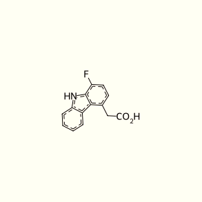 O=C(O)Cc1ccc(F)c2[nH]c3ccccc3c12